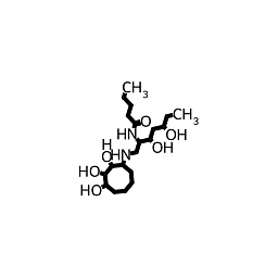 CCCCC(=O)NC(CNC1CCCCC(O)C(O)C1O)C(O)CC(O)CC